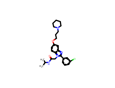 CC(C)NC(=O)Cn1c(-c2cccc(Cl)c2)nc2cc(OCCCN3CCCCC3)ccc21